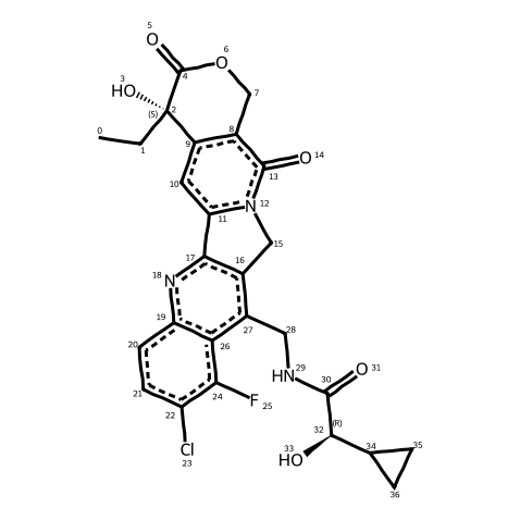 CC[C@@]1(O)C(=O)OCc2c1cc1n(c2=O)Cc2c-1nc1ccc(Cl)c(F)c1c2CNC(=O)[C@H](O)C1CC1